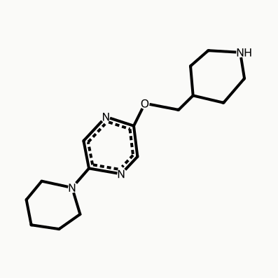 c1nc(N2CCCCC2)cnc1OCC1CCNCC1